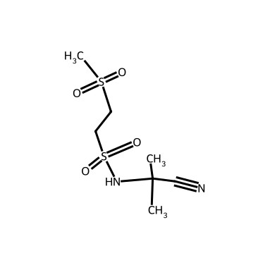 CC(C)(C#N)NS(=O)(=O)CCS(C)(=O)=O